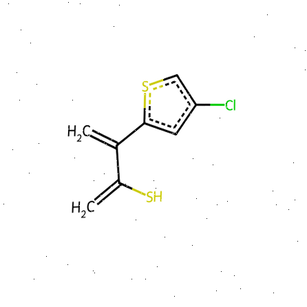 C=C(S)C(=C)c1cc(Cl)cs1